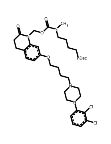 CCCCCCCCCCCCCCN(C)C(=O)OCN1C(=O)CCc2ccc(OCCCCN3CCN(c4cccc(Cl)c4Cl)CC3)cc21